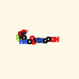 O=CC(OC1CCC(Nc2ccc([N+](=O)[O-])c(C(F)(F)F)c2)CC1)N1CCN(c2ccc3cc(O)ccc3c2)CC1